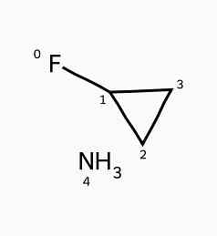 FC1CC1.N